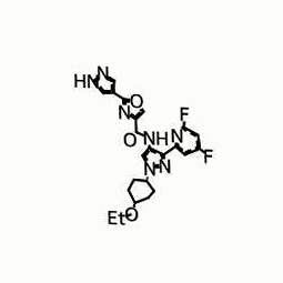 CCO[C@H]1CC[C@H](n2cc(NC(=O)c3coc(-c4cn[nH]c4)n3)c(-c3cc(F)cc(F)n3)n2)CC1